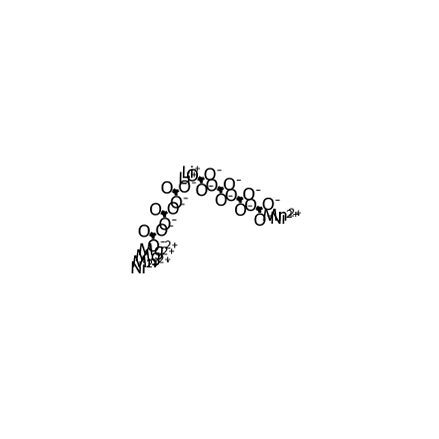 O=C([O-])[O-].O=C([O-])[O-].O=C([O-])[O-].O=C([O-])[O-].O=C([O-])[O-].O=C([O-])[O-].O=C([O-])[O-].[Li+].[Li+].[Mg+2].[Mg+2].[Mn+2].[Mn+2].[Ni+2].[Ni+2]